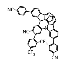 N#Cc1ccc(-c2ccc3c(c2)C(c2cc(C#N)c(-c4ccc(C(F)(F)F)cc4C(F)(F)F)cc2-n2c4ccccc4c4ccc(-c5ccc(C#N)cc5)cc42)c2ccccc2-3)cc1